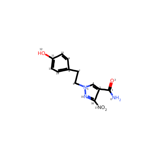 NC(=O)c1cn(CCc2ccc(O)cc2)nc1[N+](=O)[O-]